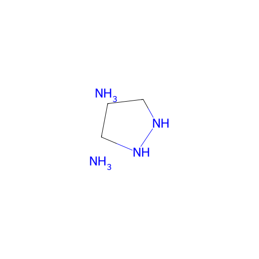 C1CNNC1.N.N